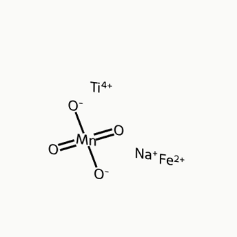 [Fe+2].[Na+].[O]=[Mn](=[O])([O-])[O-].[Ti+4]